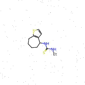 CCNC(=S)NC1CCCCc2sccc21